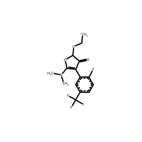 CCOC1OC(N(C)C)=C(c2cc(C(F)(F)F)ccc2F)C1=O